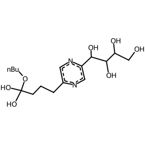 CCCCOC(O)(O)CCCc1cnc(C(O)C(O)C(O)CO)cn1